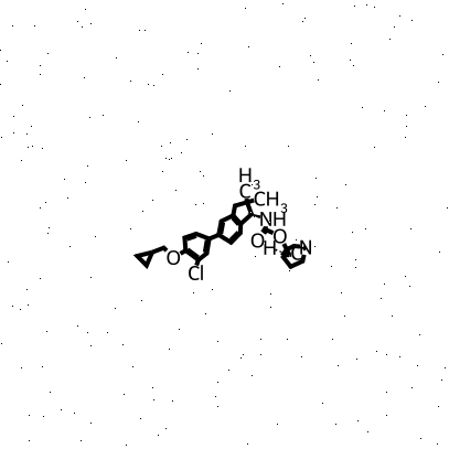 CC1(C)Cc2cc(-c3ccc(OCC4CC4)c(Cl)c3)ccc2[C@@H]1NC(=O)O[C@H]1CN2CCC1CC2